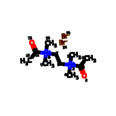 CC(=O)[N+](C)(C)CC[N+](C)(C)C(C)=O.[Br-].[Br-]